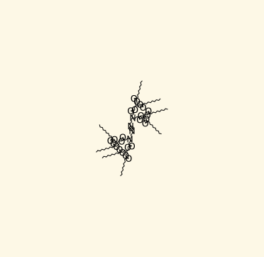 CCCCCCCCCC(=O)OCC(COC(=O)CCCCCCCCC)COC(=O)CCN(CCCN1CCN(CCCN(CCC(=O)OCC(COC(=O)CCCCCCCCC)COC(=O)CCCCCCCCC)CCC(=O)OC(COC(=O)CCCCCCCCC)COC(=O)CCCCCCCCC)CC1)CCC(=O)OCC(COC(=O)CCCCCCCCC)COC(=O)CCCCCCCCC